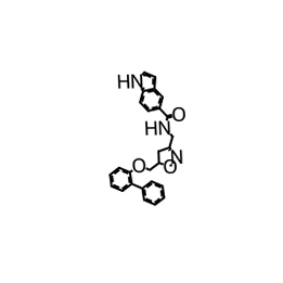 O=C(NCC1=NOC(COc2ccccc2-c2ccccc2)C1)c1ccc2[nH]ccc2c1